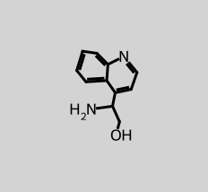 NC(CO)c1ccnc2ccccc12